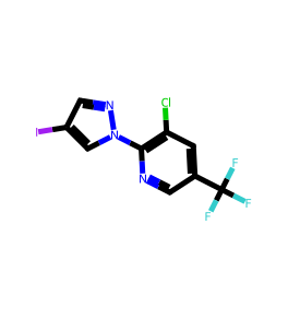 FC(F)(F)c1cnc(-n2cc(I)cn2)c(Cl)c1